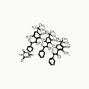 Cc1cc(C(C)(C)C)c(O)c(C)c1C(=O)C(=O)c1ccccc1.Cc1cc(C(C)(C)C)c(O)c(C)c1C(=O)C(=O)c1ccccc1.Cc1cc(C(C)(C)C)c(O)c(C)c1C(=O)C(=O)c1ccccc1.O=c1[nH]c(=O)[nH]c(=O)[nH]1